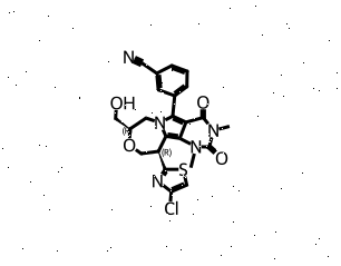 Cn1c(=O)c2c(-c3cccc(C#N)c3)n3c(c2n(C)c1=O)[C@@H](c1nc(Cl)cs1)CO[C@@H](CO)C3